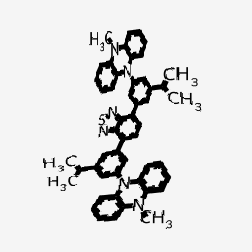 CC(C)c1cc(-c2ccc(-c3cc(C(C)C)cc(N4c5ccccc5N(C)c5ccccc54)c3)c3nsnc23)cc(N2c3ccccc3N(C)c3ccccc32)c1